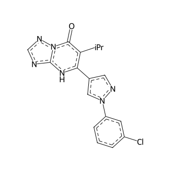 CC(C)c1c(-c2cnn(-c3cccc(Cl)c3)c2)[nH]c2ncnn2c1=O